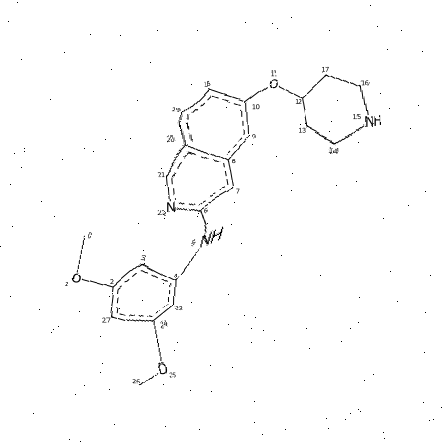 COc1cc(Nc2cc3cc(OC4CCNCC4)ccc3cn2)cc(OC)c1